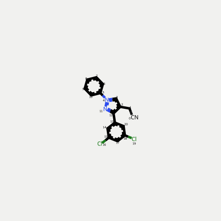 N#CCc1cn(-c2ccccc2)nc1-c1cc(Cl)cc(Cl)c1